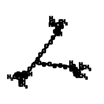 CCN[C@H]1C[C@H](C)S(=O)(=O)c2oc(S(=O)(=O)NCCOCCOCC(COCCOCCOCCOCCOCCOCCNS(=O)(=O)c3cc4c(s3)S(=O)(=O)[C@@H](C)C[C@@H]4NCC)COCCOCCOCCOCCOCCOCCNS(=O)(=O)c3cc4c(s3)S(=O)(=O)[C@@H](C)C[C@@H]4NCC)cc21